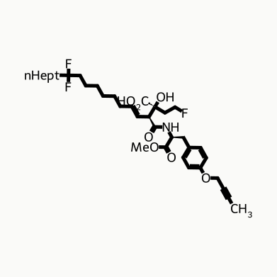 CC#CCOc1ccc(C[C@H](NC(=O)[C@@H](/C=C/CCCCCCC(F)(F)CCCCCCC)[C@@](O)(CCF)C(=O)O)C(=O)OC)cc1